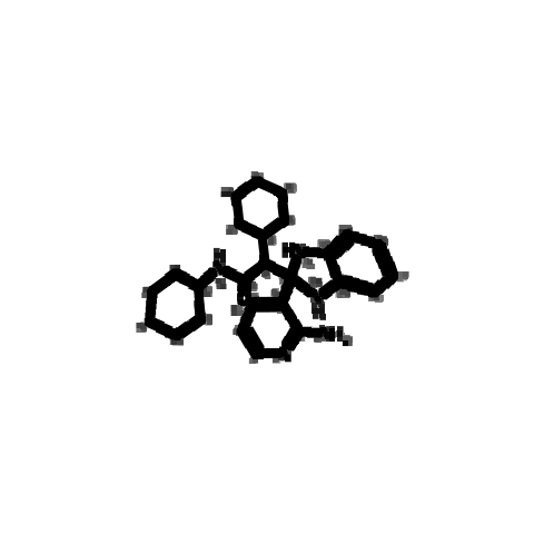 Nc1ncccc1C1(C(C(=O)NC2CCCCC2)C2CCCCC2)Nc2ccccc2N1